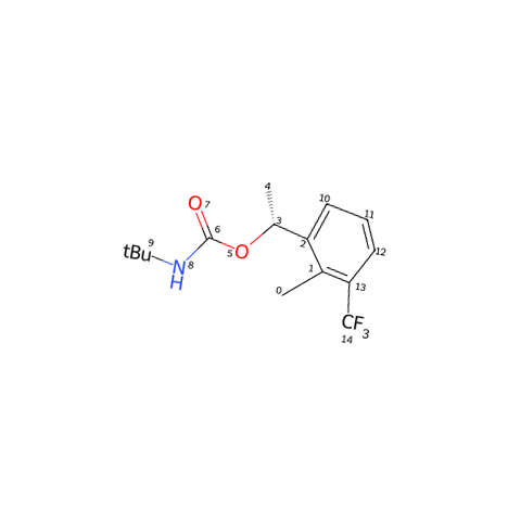 Cc1c([C@@H](C)OC(=O)NC(C)(C)C)cccc1C(F)(F)F